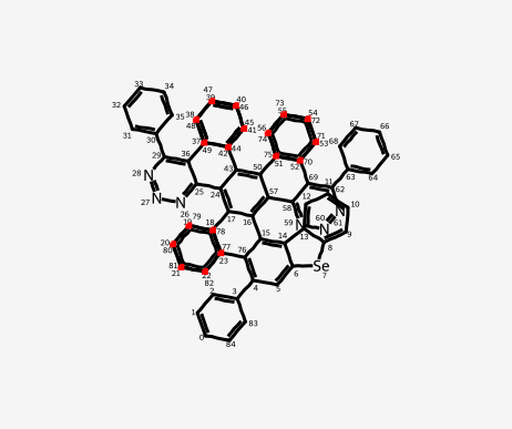 c1ccc(-c2cc3[se]c4ccccc4c3c(-c3c(-c4ccccc4)c(-c4nnnc(-c5ccccc5)c4-c4ccccc4)c(-c4ccccc4)c(-c4ccccc4)c3-c3nnnc(-c4ccccc4)c3-c3ccccc3)c2-c2ccccc2)cc1